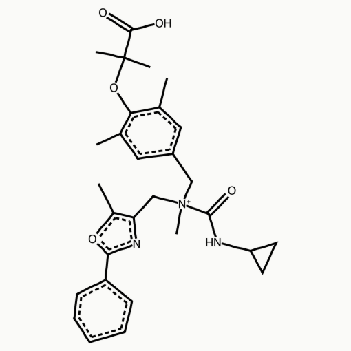 Cc1cc(C[N+](C)(Cc2nc(-c3ccccc3)oc2C)C(=O)NC2CC2)cc(C)c1OC(C)(C)C(=O)O